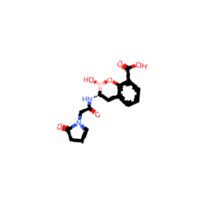 O=C(CN1CCCC1=O)N[C@H]1Cc2cccc(C(=O)O)c2OB1O